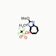 COC1N=C2C=CC=CC=C2N1C.O=S(=O)(O)C(F)(F)F